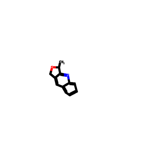 CC1OCc2cc3ccccc3nc21